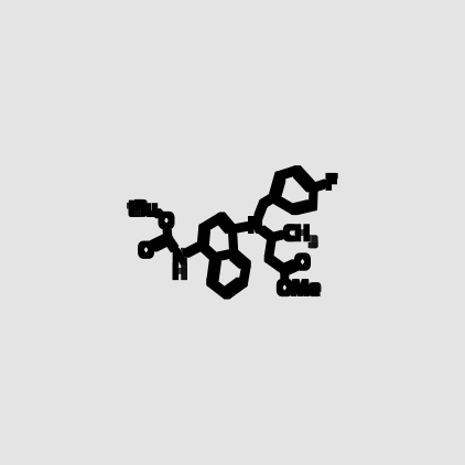 COC(=O)CC(C)N(Cc1ccc(F)cc1)c1ccc(NC(=O)OC(C)(C)C)c2ccccc12